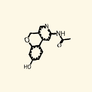 CC(=O)Nc1cc2c(cn1)COc1cc(O)ccc1-2